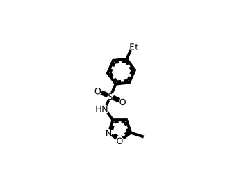 CCc1ccc(S(=O)(=O)Nc2cc(C)on2)cc1